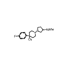 CNC1CCN(C2CCC(C#N)(c3ccc(F)cc3)CC2)C1